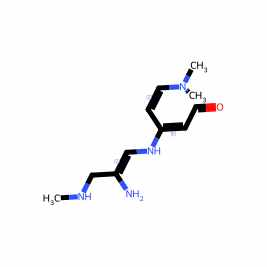 CNC/C(N)=C/NC(/C=C\N(C)C)=C/C=O